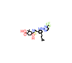 CC1(C)CC(O)(c2ncc(-c3cc(C=CC4CC4)cc(Nc4nccc(C(F)(F)F)n4)c3)s2)CCC1C(=O)O